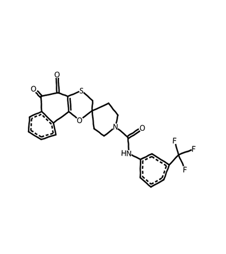 O=C1C(=O)c2ccccc2C2=C1SCC1(CCN(C(=O)Nc3cccc(C(F)(F)F)c3)CC1)O2